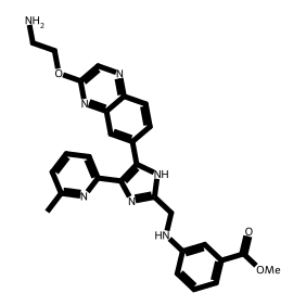 COC(=O)c1cccc(NCc2nc(-c3cccc(C)n3)c(-c3ccc4ncc(OCCN)nc4c3)[nH]2)c1